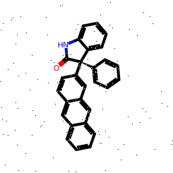 O=C1Nc2ccccc2[C@]1(c1ccccc1)c1ccc2cc3ccccc3cc2c1